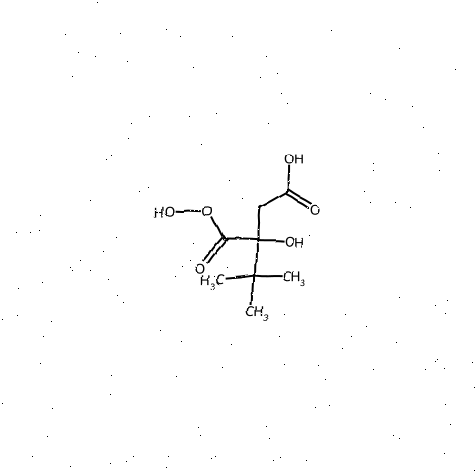 CC(C)(C)C(O)(CC(=O)O)C(=O)OO